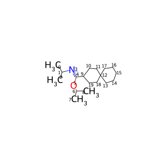 CC(C)/N=C(\OC(C)C)C1CCC2(CCCCC2)CC1